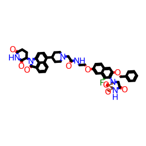 O=C(CN1CCC(c2ccc3c4c(cccc24)C(=O)N3C2CCC(=O)NC2=O)CC1)NCCOc1ccc2cc(OCc3ccccc3)c(N3CC(=O)NS3(=O)=O)c(F)c2c1